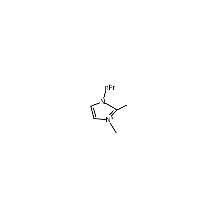 [CH2]CCn1cc[n+](C)c1C